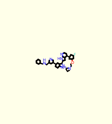 Fc1cc(OCCN2CCCC2)cc(-c2ccnc3[nH]c(-c4n[nH]c5ccc(-c6cncc(CNCc7ccccc7)c6)cc45)cc23)c1